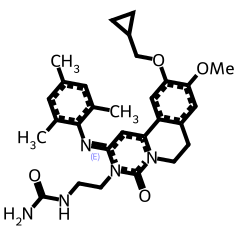 COc1cc2c(cc1OCC1CC1)-c1c/c(=N\c3c(C)cc(C)cc3C)n(CCNC(N)=O)c(=O)n1CC2